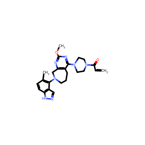 C=CC(=O)N1CCN(c2nc(OC)nc3c2CCCN(c2c(C)ccc4[nH]ncc24)C3)CC1